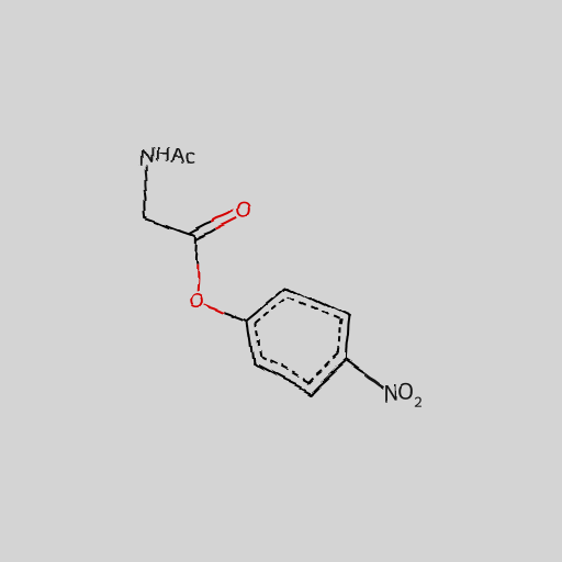 CC(=O)NCC(=O)Oc1ccc([N+](=O)[O-])cc1